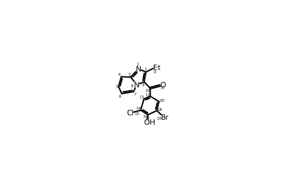 CCc1nc2ccccn2c1C(=O)c1cc(Cl)c(O)c(Br)c1